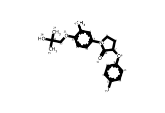 Cc1cc(N2CCC(Oc3ccc(I)cc3)C2=O)ccc1OCC(C)(C)O